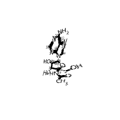 CC(=O)N[C@]1(CO)O[C@@H](n2cnc3c(N)ncnc32)[C@H](O)[C@@H]1O